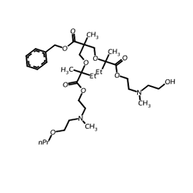 CCCOCCN(C)CCOC(=O)C(C)(CC)OCC(C)(COC(C)(CC)C(=O)OCCN(C)CCO)C(=O)OCc1ccccc1